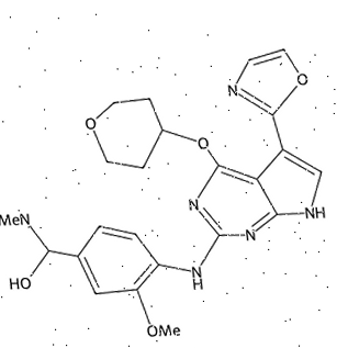 CNC(O)c1ccc(Nc2nc(OC3CCOCC3)c3c(-c4ncco4)c[nH]c3n2)c(OC)c1